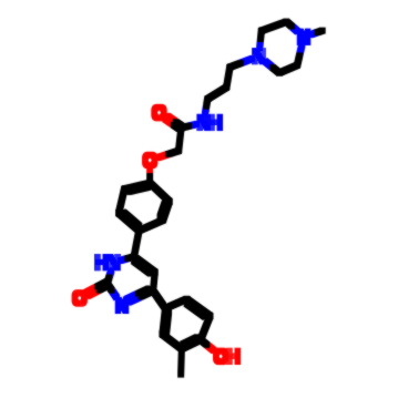 Cc1cc(-c2cc(-c3ccc(OCC(=O)NCCCN4CCN(C)CC4)cc3)[nH]c(=O)n2)ccc1O